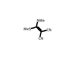 CNC(SC)=C(C#N)C#N